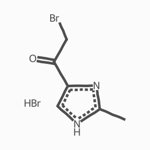 Br.Cc1nc(C(=O)CBr)c[nH]1